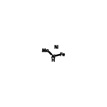 [Fe][AlH][Mo].[Ni]